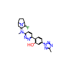 Cc1nnn(-c2ccc(-c3ccc(N(C)[C@@H]4CC5CCC([C@H]4F)N5C)nn3)c(O)c2)n1